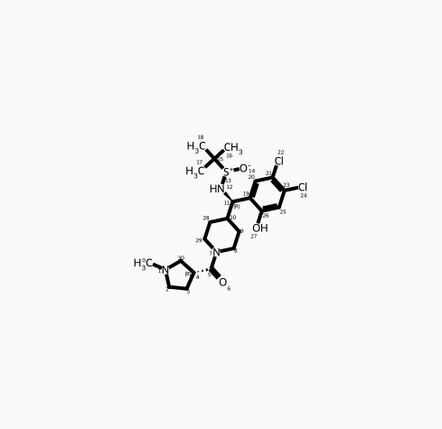 CN1CC[C@@H](C(=O)N2CCC([C@@H](N[S+]([O-])C(C)(C)C)c3cc(Cl)c(Cl)cc3O)CC2)C1